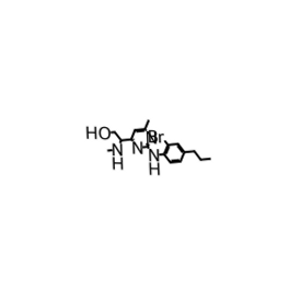 CCCc1ccc(Nc2nc(C)cc(C(CO)NC)n2)c(Br)c1